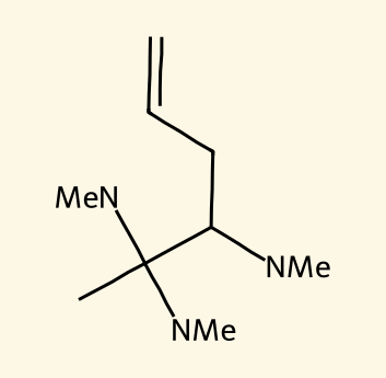 C=CCC(NC)C(C)(NC)NC